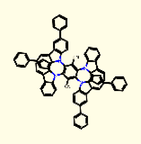 N#Cc1c(-n2c3ccccc3c3ccccc32)c(-n2c3ccc(-c4ccccc4)cc3c3cc(-c4ccccc4)ccc32)c(C#N)c(-n2c3ccccc3c3ccccc32)c1-n1c2ccc(-c3ccccc3)cc2c2cc(-c3ccccc3)ccc21